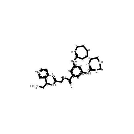 O=C(O)CC(NC(=O)CNC(=O)c1cc(NC2=NCCCCC2)cc(NC2=NCCCCC2)c1)c1cccnc1